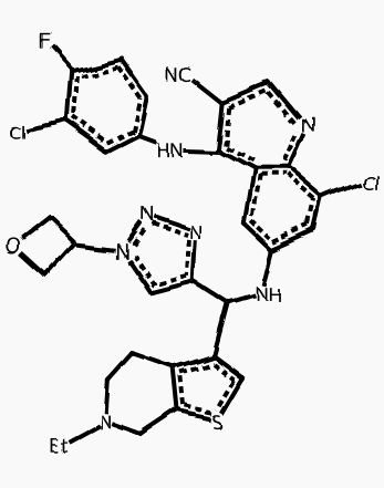 CCN1CCc2c(C(Nc3cc(Cl)c4ncc(C#N)c(Nc5ccc(F)c(Cl)c5)c4c3)c3cn(C4COC4)nn3)csc2C1